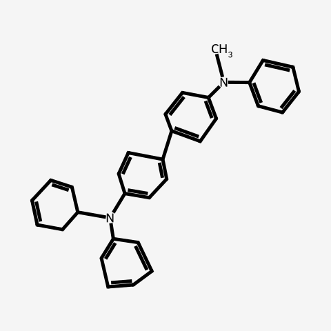 CN(c1ccccc1)c1ccc(-c2ccc(N(c3ccccc3)C3C=CC=CC3)cc2)cc1